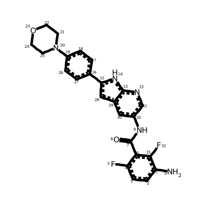 Nc1ccc(F)c(C(=O)Nc2cnc3[nH]c(-c4ccc(N5CCOCC5)cc4)cc3c2)c1F